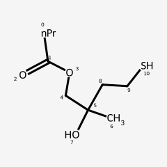 CCCC(=O)OCC(C)(O)CCS